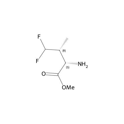 COC(=O)[C@@H](N)[C@@H](C)C(F)F